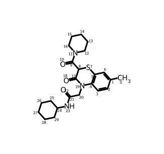 Cc1ccc2c(c1)SC(C(=O)N1CCCCC1)C(=O)N2CC(=O)NC1CCCCC1